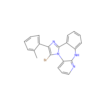 Cc1ccccc1-c1nc2n(c1Br)-c1cccnc1Nc1ccccc1-2